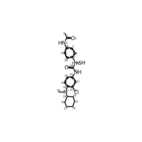 CC(=O)Nc1ccc(N(S)C(=O)Nc2ccc(N(C)C3CCCCC3)c(Cl)c2)cc1